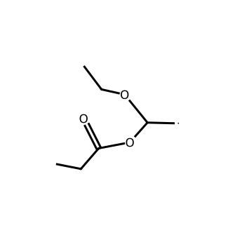 [CH2]C(OCC)OC(=O)CC